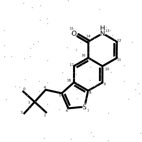 CC(C)(C)Cc1csc2cc3cc[nH]c(=O)c3cc12